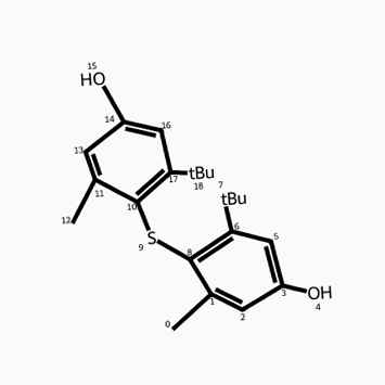 Cc1cc(O)cc(C(C)(C)C)c1Sc1c(C)cc(O)cc1C(C)(C)C